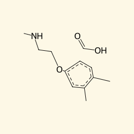 CNCCOc1ccc(C)c(C)c1.O=CO